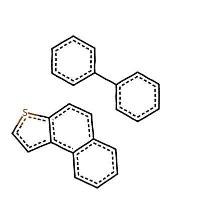 c1ccc(-c2ccccc2)cc1.c1ccc2c(c1)ccc1sccc12